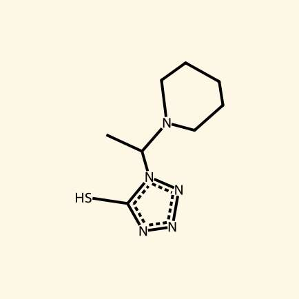 CC(N1CCCCC1)n1nnnc1S